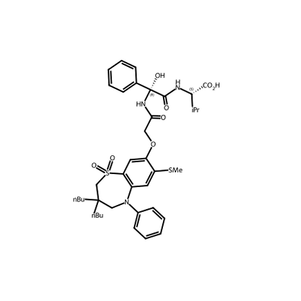 CCCCC1(CCCC)CN(c2ccccc2)c2cc(SC)c(OCC(=O)N[C@](O)(C(=O)N[C@H](C(=O)O)C(C)C)c3ccccc3)cc2S(=O)(=O)C1